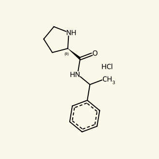 CC(NC(=O)[C@H]1CCCN1)c1ccccc1.Cl